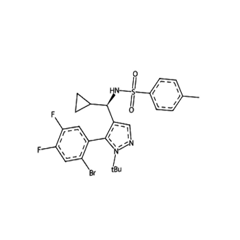 Cc1ccc(S(=O)(=O)N[C@@H](c2cnn(C(C)(C)C)c2-c2cc(F)c(F)cc2Br)C2CC2)cc1